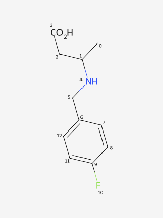 CC(CC(=O)O)NCc1ccc(F)cc1